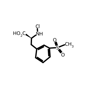 CS(=O)(=O)c1cccc(C[C@H](NCl)C(=O)O)c1